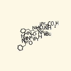 CC[C@H](C)[C@H](NC(=O)CC(N)C(Cc1ccccc1)NC(=O)[C@@H](NC(=O)[C@@H](N)Cc1ccccc1)C(C)C)C(=O)N[C@H](C(=O)O)C(C)C